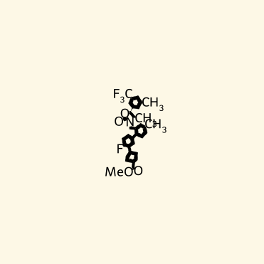 COC(=O)c1ccc(-c2cc(-c3ccc(C)cc3CN3C(=O)O[C@H](c4cc(C)cc(C(F)(F)F)c4)[C@@H]3C)ccc2F)cc1